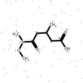 CON(C)C(=O)CC(C)CC(=O)O